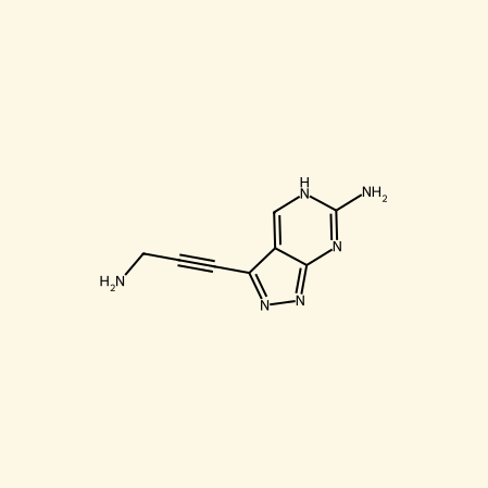 NCC#Cc1nnc2nc(N)[nH]cc1-2